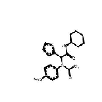 COc1ccc(N(C(=O)C(F)(F)F)C(C(=O)NC2CCCCC2)c2cccs2)cc1